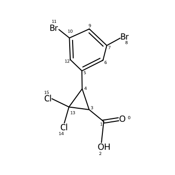 O=C(O)C1C(c2cc(Br)cc(Br)c2)C1(Cl)Cl